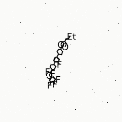 CC/C=C/C1COC(C2CCC(c3ccc(C4CCC(C(F)(F)Oc5cc(F)c(F)c(F)c5)CC4)c(F)c3)CC2)OC1